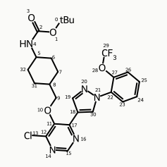 CC(C)(C)OC(=O)NC1CCC(COc2c(Cl)ncnc2-c2cnn(-c3ccccc3OC(F)(F)F)c2)CC1